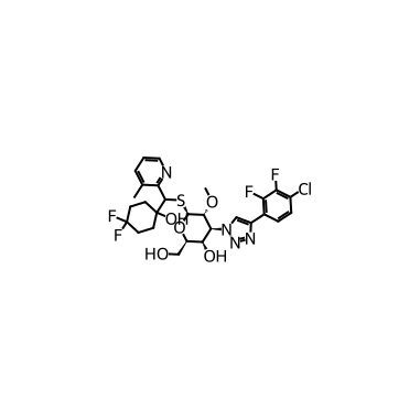 CO[C@@H]1[C@@H](n2cc(-c3ccc(Cl)c(F)c3F)nn2)[C@@H](O)[C@@H](CO)O[C@H]1SC(c1ncccc1C)C1(O)CCC(F)(F)CC1